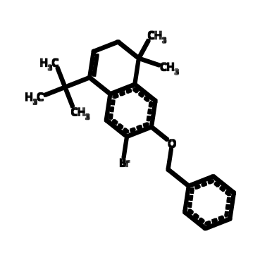 CC(C)(C)C1=CCC(C)(C)c2cc(OCc3ccccc3)c(Br)cc21